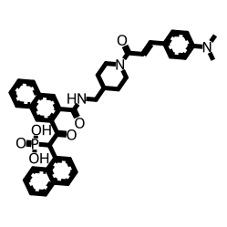 CN(C)c1ccc(C=CC(=O)N2CCC(CNC(=O)c3cc4ccccc4cc3C(=O)C(c3cccc4ccccc34)P(=O)(O)O)CC2)cc1